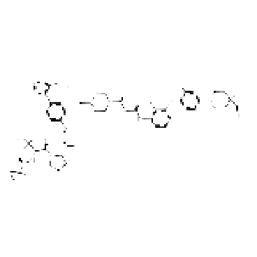 Cc1ncsc1-c1ccc(CNC(=O)[C@@H]2CCCN2C(=O)[C@@H](NC(=O)C2(F)CC2)C(C)(C)C)c(OCC2CCN(C(=O)CC(=O)Nc3cccc(Sc4ncc(N5CCC(C)(CN)CC5)nc4N)c3Cl)CC2)c1